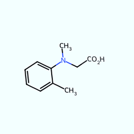 Cc1ccccc1N(C)CC(=O)O